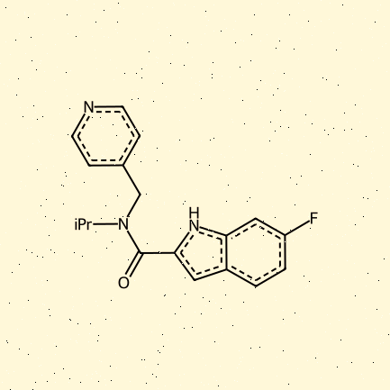 CC(C)N(Cc1ccncc1)C(=O)c1cc2ccc(F)cc2[nH]1